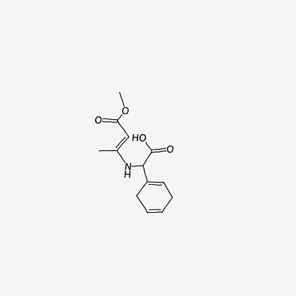 COC(=O)C=C(C)NC(C(=O)O)C1=CCC=CC1